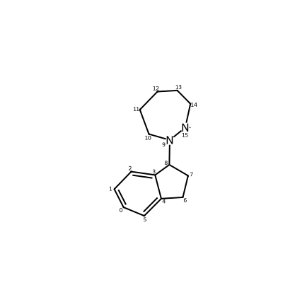 c1ccc2c(c1)CCC2N1CCCCC[N]1